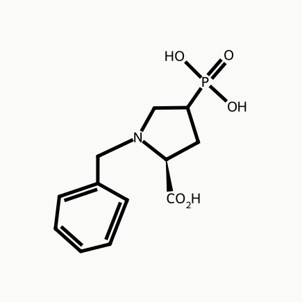 O=C(O)[C@@H]1CC(P(=O)(O)O)CN1Cc1ccccc1